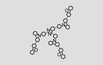 c1cc(-c2nc(-c3ccc(-n4c5ccccc5c5cc(-c6ccc7c(c6)oc6ccccc67)ccc54)cc3)nc3ccc(-c4ccc(-n5c6ccccc6c6cc(-c7ccc8c(c7)oc7ccccc78)ccc65)cc4)cc23)cc(-n2c3ccccc3c3cc(-c4ccc5c(c4)oc4ccccc45)ccc32)c1